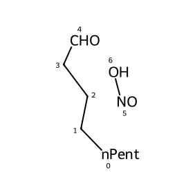 CCCCCCCCC=O.O=NO